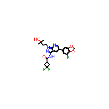 CC(C)(O)CCn1nc(NC(=O)C2CC(F)(F)C2)c2cc(-c3cc(F)c4c(c3)OCO4)cnc21